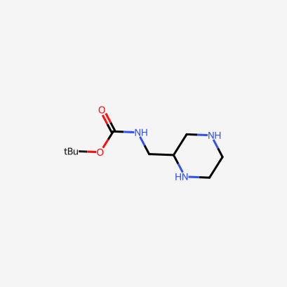 CC(C)(C)OC(=O)NCC1CNCCN1